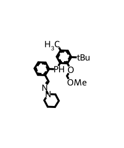 COCOc1c(Pc2ccccc2/C=N/N2CCCCC2)cc(C)cc1C(C)(C)C